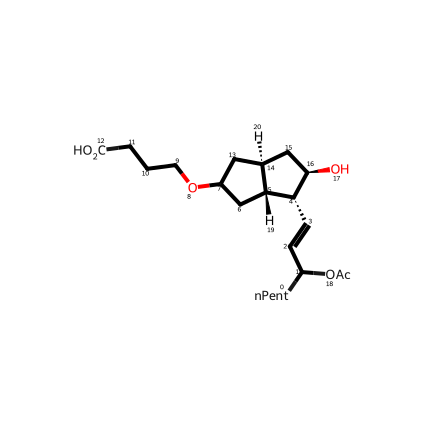 CCCCCC(C=C[C@@H]1[C@@H]2CC(OCCCC(=O)O)C[C@H]2C[C@H]1O)OC(C)=O